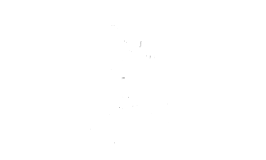 CC(C)COC(=O)N1Cc2cc(-n3nc(C(C)(C)C)cc3N)ccc2CC1(C)C(=O)OCC(C)C